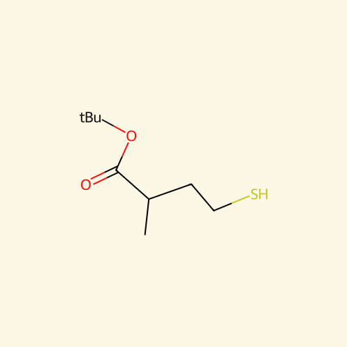 CC(CCS)C(=O)OC(C)(C)C